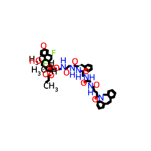 CCCC1O[C@@H]2CC3[C@@H]4C[C@H](F)C5=CC(=O)C=C[C@]5(C)[C@@]4(F)[C@@H](O)C[C@]3(C)[C@]2(C(=O)COCNC(=O)CNC(=O)[C@H](Cc2ccccc2)NC(=O)CNC(=O)CNC(=O)CCC(=O)N2Cc3ccccc3/C=C\c3ccccc32)O1